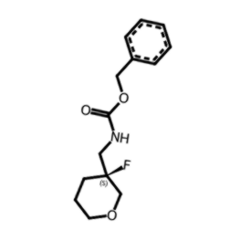 O=C(NC[C@@]1(F)CCCOC1)OCc1ccccc1